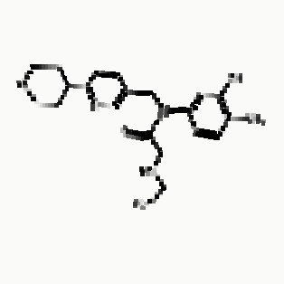 CCNCC(=O)N(Cc1ccc(C2CCOCC2)nc1)c1ccc(C)c(O)c1